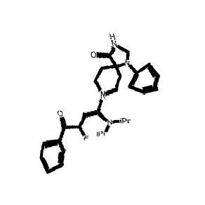 CC(C)N(C(C)C)C(CC(F)C(=O)c1ccccc1)N1CCC2(CC1)C(=O)NCN2c1ccccc1